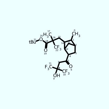 CC1C2CC(C(=O)CC(O)(C(F)(F)F)C(F)(F)F)C(C2)C1CC(C)(C(=O)OC(C)(C)C)C(F)(F)F